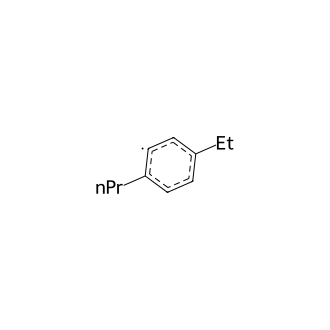 CCCc1[c]cc(CC)cc1